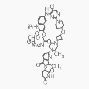 CNC(=O)COc1cc2cc(Nc3nc(N4CCC(OC5CC(N6CCN(c7ccc8c(n7)C(C)N(C7CCC(=O)NC7=O)C8=O)[C@H](C)C6)C5)CC4)ncc3Cl)ccc2n(C(C)C)c1=O.O=CO